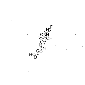 CC(C)C1=C2[C@H]3CC[C@@H]4[C@@]5(C)CC[C@H](OC(=O)CC(C)(C)C(=O)O)C(C)(C)[C@@H]5CC[C@@]4(C)[C@]3(C)CC[C@@]2(C(O)c2nnc(-c3ccc(F)cn3)n2C)CC1=O